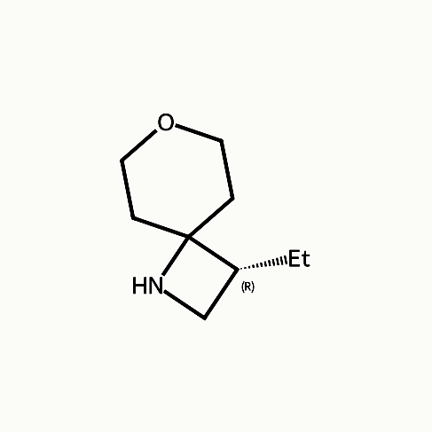 CC[C@@H]1CNC12CCOCC2